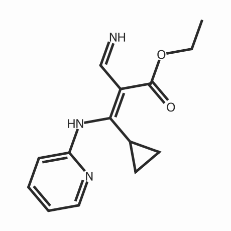 CCOC(=O)/C(C=N)=C(/Nc1ccccn1)C1CC1